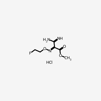 COC(=O)C(=NOCCF)C(=N)N.Cl